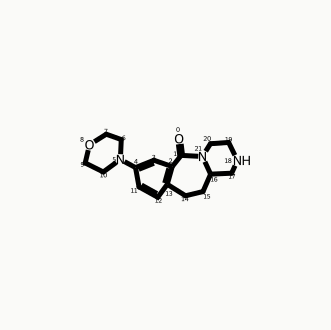 O=C1c2cc(N3CCOCC3)ccc2CCC2CNCCN12